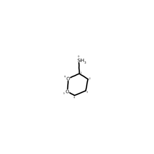 [SiH3]C1CCCOO1